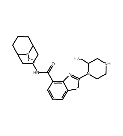 CC1CNCCN1c1nc2c(C(=O)NC3CC4CCCC(C3)N4C)cccc2o1